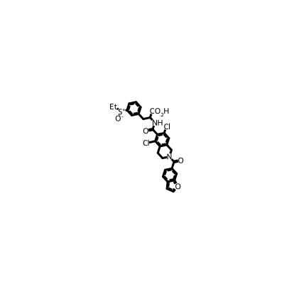 CC[S+]([O-])c1cccc(CC(NC(=O)c2c(Cl)cc3c(c2Cl)CCN(C(=O)c2ccc4ccoc4c2)C3)C(=O)O)c1